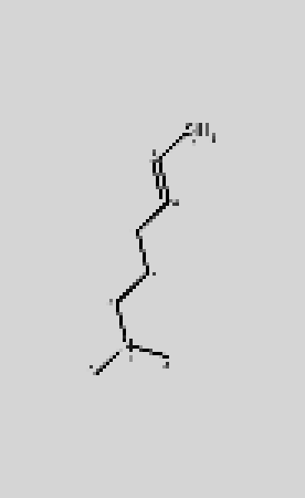 CN(C)CCCC=C[SiH3]